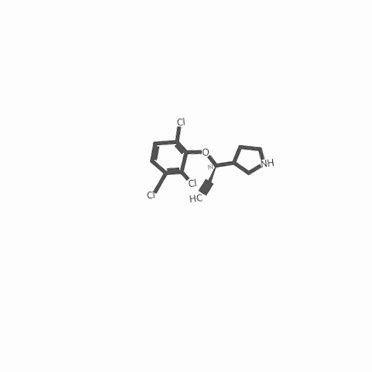 C#C[C@@H](Oc1c(Cl)ccc(Cl)c1Cl)C1CCNC1